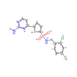 CNc1nccc(-c2ccc(S(=O)(=O)NCc3ccc(Cl)cc3Cl)s2)n1